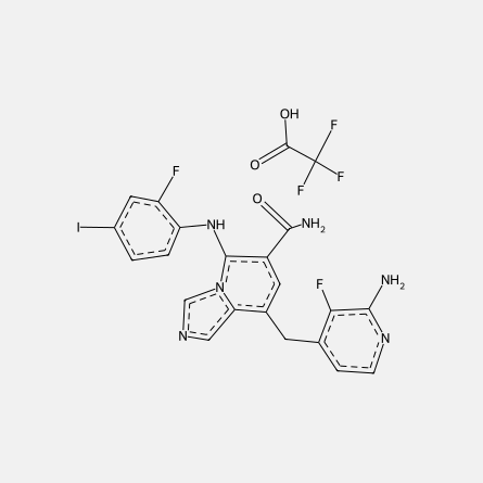 NC(=O)c1cc(Cc2ccnc(N)c2F)c2cncn2c1Nc1ccc(I)cc1F.O=C(O)C(F)(F)F